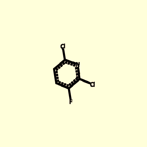 Fc1ccc(Cl)nc1Cl